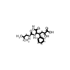 CC(C)CNC(=O)NC(C(=O)O)C(CC(O)C(=O)O)c1ccccc1